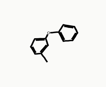 Cc1cccc(Oc2ccccc2)c1